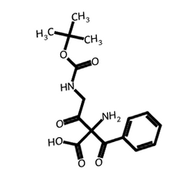 CC(C)(C)OC(=O)NCC(=O)C(N)(C(=O)O)C(=O)c1ccccc1